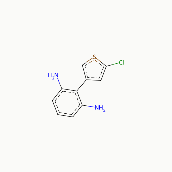 Nc1cccc(N)c1-c1csc(Cl)c1